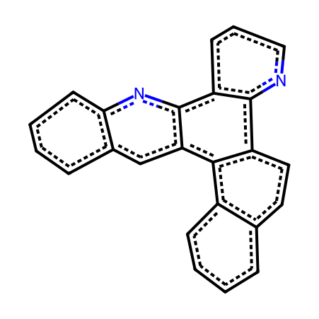 c1ccc2nc3c4cccnc4c4ccc5ccccc5c4c3cc2c1